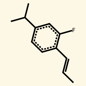 CC=Cc1ccc(C(C)C)cc1F